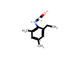 CCc1cc(C)cc(C)c1N=C=O